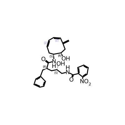 C=C1/C=C\C=C/C[C@H](NC(=O)[C@H](Cc2ccccc2)C[C@H](O)CNC(=O)c2ccccc2[N+](=O)[O-])[C@H](O)C1